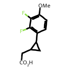 COc1ccc(C2CC2CC(=O)O)c(F)c1F